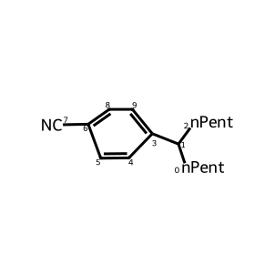 CCCCCC(CCCCC)c1ccc(C#N)cc1